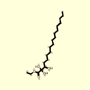 CCCCCCCCCCCCCCCC(O)C(O)(O)C(=O)OCC